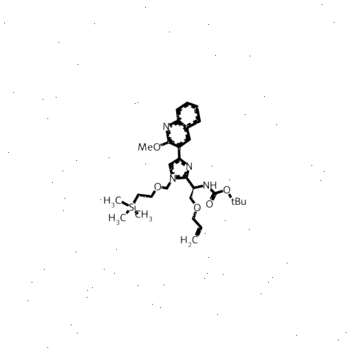 C=CCOC[C@H](NC(=O)OC(C)(C)C)c1nc(-c2cc3ccccc3nc2OC)cn1COCC[Si](C)(C)C